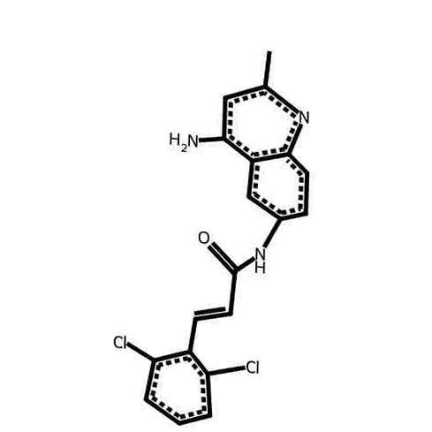 Cc1cc(N)c2cc(NC(=O)/C=C/c3c(Cl)cccc3Cl)ccc2n1